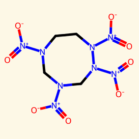 O=[N+]([O-])N1CCN([N+](=O)[O-])N([N+](=O)[O-])CN([N+](=O)[O-])C1